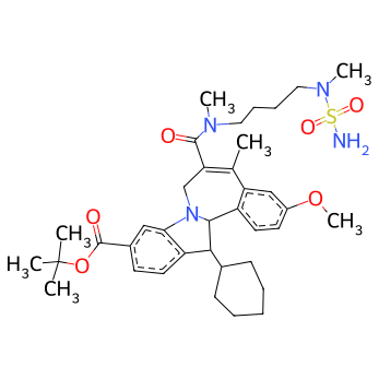 COc1ccc2c(c1)C(C)=C(C(=O)N(C)CCCCN(C)S(N)(=O)=O)CN1c3cc(C(=O)OC(C)(C)C)ccc3C(C3CCCCC3)C21